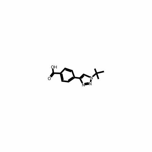 CC(C)(C)n1cc(-c2ccc(C(=O)O)cc2)nn1